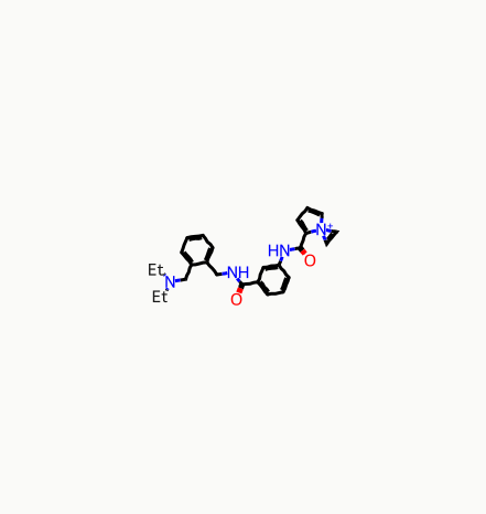 CCN(CC)Cc1ccccc1CNC(=O)c1cccc(NC(=O)C2=CC=C[N+]23C=C3)c1